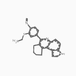 C=Nc1ccc(-c2nc3ccc4[nH]ccc4c3c3c2CCCC3)cc1SCN